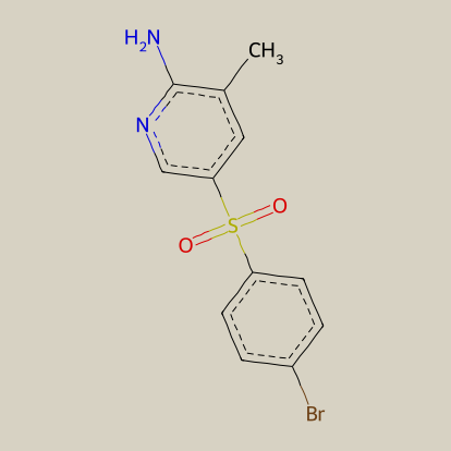 Cc1cc(S(=O)(=O)c2ccc(Br)cc2)cnc1N